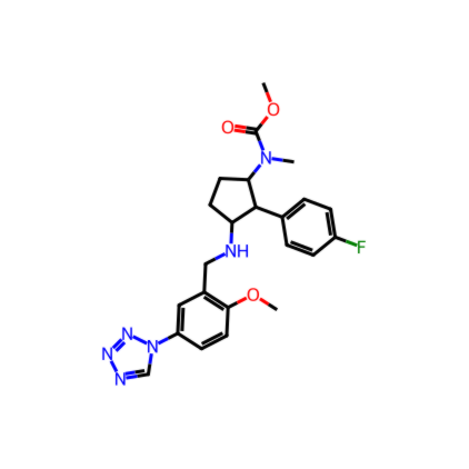 COC(=O)N(C)C1CCC(NCc2cc(-n3cnnn3)ccc2OC)C1c1ccc(F)cc1